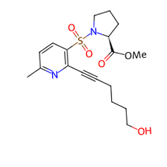 COC(=O)[C@@H]1CCCN1S(=O)(=O)c1ccc(C)nc1C#CCCCCO